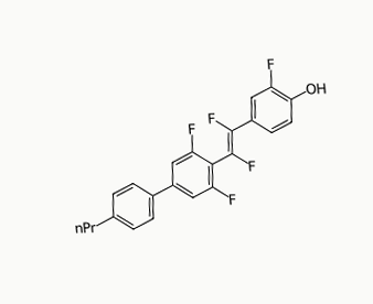 CCCc1ccc(-c2cc(F)c(/C(F)=C(\F)c3ccc(O)c(F)c3)c(F)c2)cc1